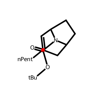 CCCCCC1=CC2CCC(C1)N2C(=O)OC(C)(C)C